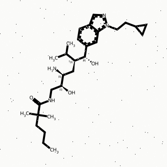 CCCCC(C)(C)C(=O)NC[C@H](O)[C@@H](N)C[C@@H](C(C)C)[C@@H](O)c1ccc2cnn(CCC3CC3)c2c1